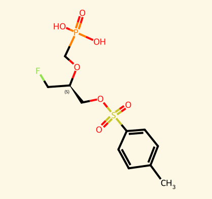 Cc1ccc(S(=O)(=O)OC[C@@H](CF)OCP(=O)(O)O)cc1